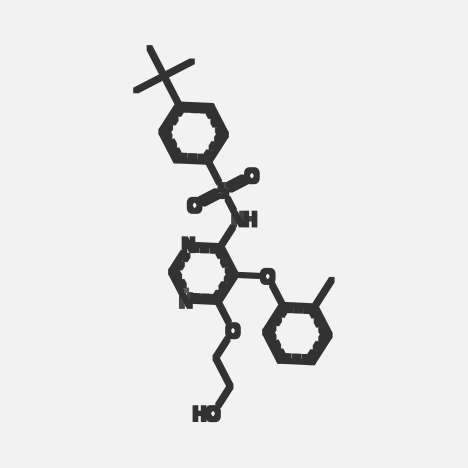 Cc1ccccc1Oc1c(NS(=O)(=O)c2ccc(C(C)(C)C)cc2)ncnc1OCCO